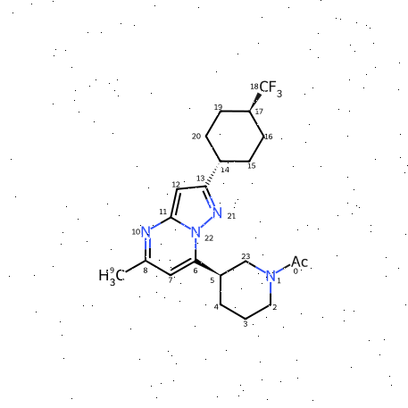 CC(=O)N1CCC[C@@H](c2cc(C)nc3cc([C@H]4CC[C@H](C(F)(F)F)CC4)nn23)C1